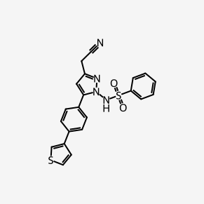 N#CCc1cc(-c2ccc(-c3ccsc3)cc2)n(NS(=O)(=O)c2ccccc2)n1